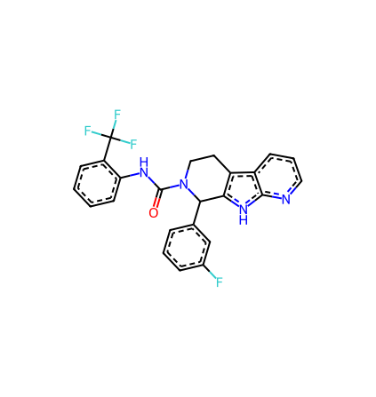 O=C(Nc1ccccc1C(F)(F)F)N1CCc2c([nH]c3ncccc23)C1c1cccc(F)c1